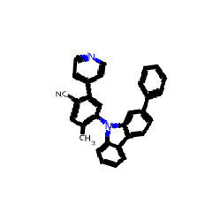 Cc1cc(C#N)c(-c2ccncc2)cc1-n1c2ccccc2c2ccc(-c3ccccc3)cc21